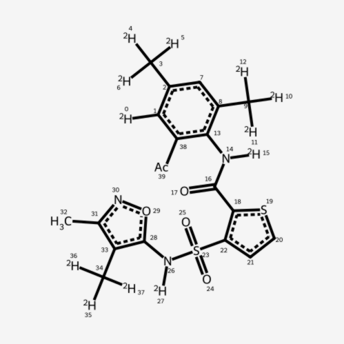 [2H]c1c(C([2H])([2H])[2H])cc(C([2H])([2H])[2H])c(N([2H])C(=O)c2sccc2S(=O)(=O)N([2H])c2onc(C)c2C([2H])([2H])[2H])c1C(C)=O